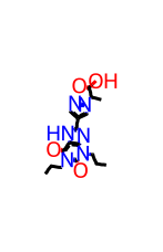 CCCn1c(=O)c2[nH]c(-c3cnn(C(C)C(=O)O)c3)nc2n(CCC)c1=O